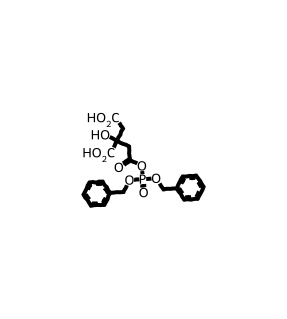 O=C(O)CC(O)(CC(=O)OP(=O)(OCc1ccccc1)OCc1ccccc1)C(=O)O